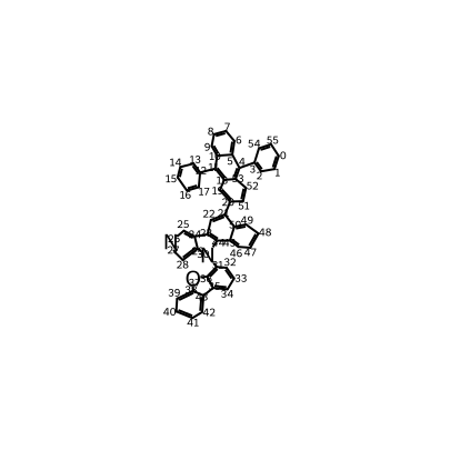 c1ccc(-c2c3ccccc3c(-c3ccccc3)c3cc(-c4cc5c6cnccc6n(-c6cccc7c6oc6ccccc67)c5c5ccccc45)ccc23)cc1